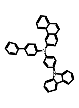 c1ccc(-c2ccc(N(c3ccc(-n4c5ccccc5c5ccccc54)cc3)c3ccc4ccc5ccccc5c4c3)cc2)cc1